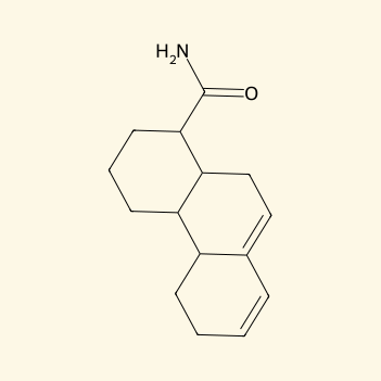 NC(=O)C1CCCC2C3CCC=CC3=CCC12